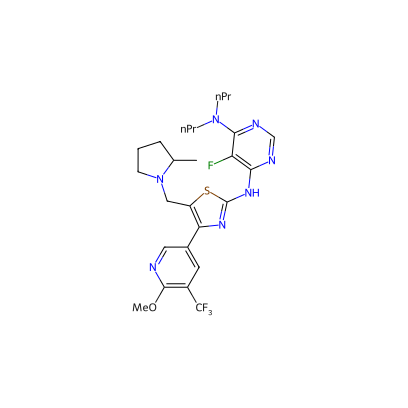 CCCN(CCC)c1ncnc(Nc2nc(-c3cnc(OC)c(C(F)(F)F)c3)c(CN3CCCC3C)s2)c1F